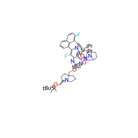 CC(C)[Si](C#Cc1c(F)ccc2cccc(-c3ncc4c(N5CC6CCC(C5)N6C(=O)OC(C)(C)C)nc(OCC56CCCN5[C@@H](CO[Si](C)(C)C(C)(C)C)CC6)nc4c3F)c12)(C(C)C)C(C)C